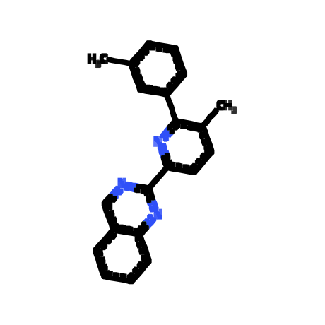 Cc1cccc(-c2nc(-c3ncc4ccccc4n3)ccc2C)c1